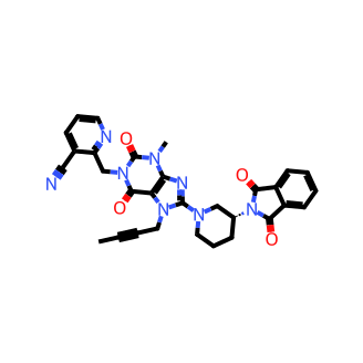 CC#CCn1c(N2CCC[C@@H](N3C(=O)c4ccccc4C3=O)C2)nc2c1c(=O)n(Cc1ncccc1C#N)c(=O)n2C